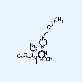 COCOCCN1CCN(c2cc(NC(COC=O)c3cncs3)nc(C)n2)CC1